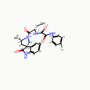 CC(C)C[C@H](NC(=O)C(=O)Nc1ccc(F)cc1)C(=O)N1C[C@]2(C[C@H]1C#N)C(=O)Nc1ccccc12